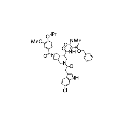 CNC(=O)[C@H](NC(=O)C1CN(C(=O)Cc2c[nH]c3cc(Cl)ccc23)CC2CN(C(=O)c3ccc(OC(C)C)c(OC)c3)CC21)[C@@H](C)OCc1ccccc1